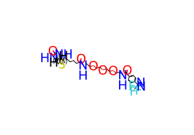 O=C(CCCC[C@@H]1SC[C@@H]2NC(=O)N[C@@H]21)NCCOCCOCCOCCNC(=O)c1ccc(C2(C(F)(F)F)N=N2)cc1